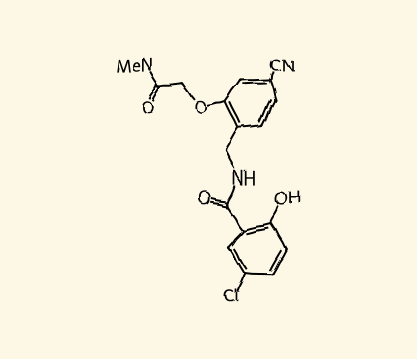 CNC(=O)COc1cc(C#N)ccc1CNC(=O)c1cc(Cl)ccc1O